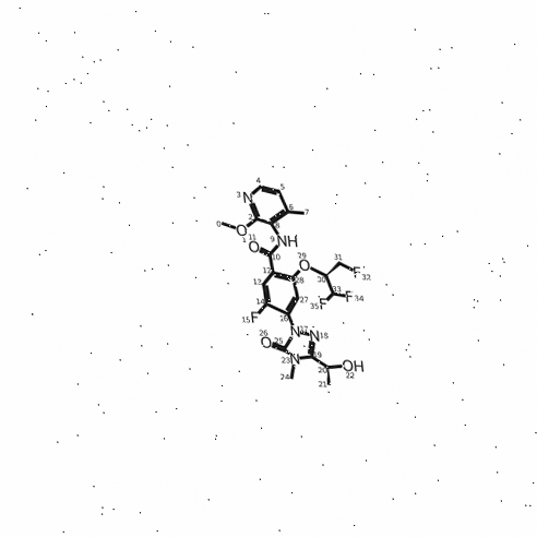 COc1nccc(C)c1NC(=O)c1cc(F)c(-n2nc([C@H](C)O)n(C)c2=O)cc1O[C@@H](CF)C(F)F